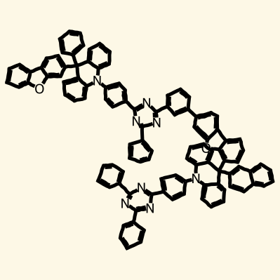 c1ccc(-c2nc(-c3ccccc3)nc(-c3ccc(N4c5ccccc5C(c5ccc6ccccc6c5)(c5cccc6c5oc5cc(-c7cccc(-c8nc(-c9ccccc9)nc(-c9ccc(N%10c%11ccccc%11C(c%11ccccc%11)(c%11ccc%12c(c%11)oc%11ccccc%11%12)c%11ccccc%11%10)cc9)n8)c7)ccc56)c5ccccc54)cc3)n2)cc1